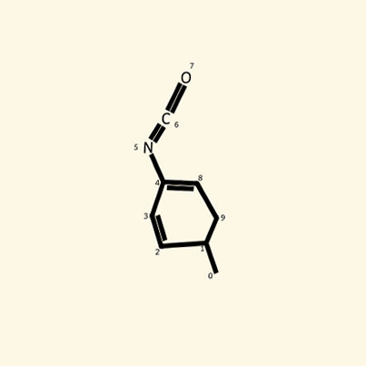 CC1C=CC(N=C=O)=CC1